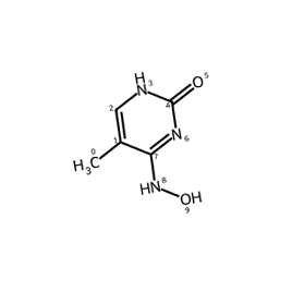 Cc1c[nH]c(=O)nc1NO